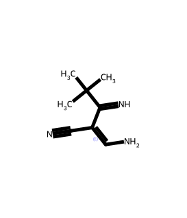 CC(C)(C)C(=N)/C(C#N)=C\N